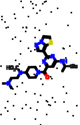 C[C@@H](Nc1cc(C(=O)N2CCC(N(CCN(C)C)C(=O)O)CC2)nc(-c2cnn3ccsc23)n1)C(C)(C)C